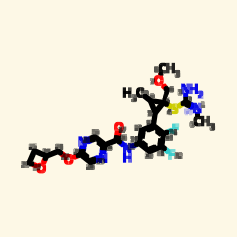 C/N=C(/N)S[C@@]1(COC)C(C)C1c1cc(NC(=O)c2cnc(OCC3CCO3)cn2)cc(F)c1F